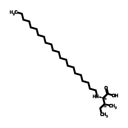 CCCCCCCCCCCCCCCCCCCCCCN[C@H](C(=O)O)[C@@H](C)CC